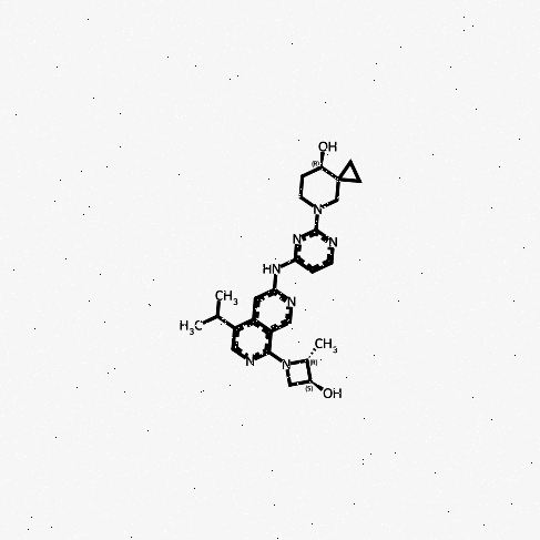 CC(C)c1cnc(N2C[C@H](O)[C@H]2C)c2cnc(Nc3ccnc(N4CC[C@@H](O)C5(CC5)C4)n3)cc12